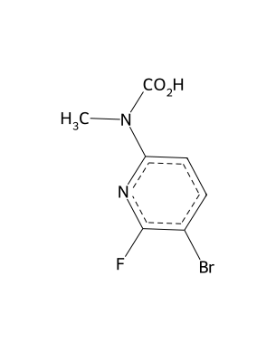 CN(C(=O)O)c1ccc(Br)c(F)n1